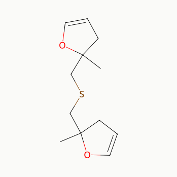 CC1(CSCC2(C)CC=CO2)CC=CO1